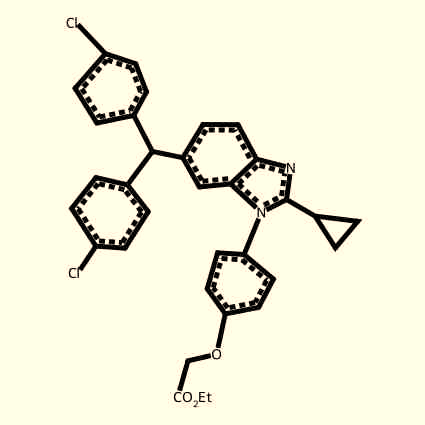 CCOC(=O)COc1ccc(-n2c(C3CC3)nc3ccc(C(c4ccc(Cl)cc4)c4ccc(Cl)cc4)cc32)cc1